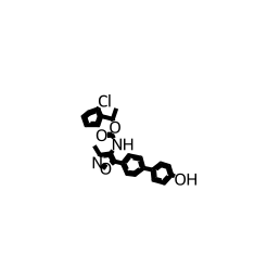 Cc1noc(-c2ccc(-c3ccc(O)cc3)cc2)c1NC(=O)OC(C)c1ccccc1Cl